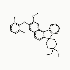 CCC1(CC)CCC2(CC1)c1ccccc1-c1c2ccc2cc(Sc3c(C)cccc3C)c(OC)cc12